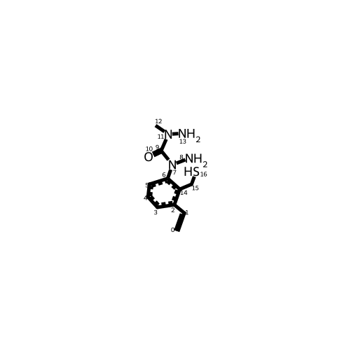 C=Cc1cccc(N(N)C(=O)N(C)N)c1CS